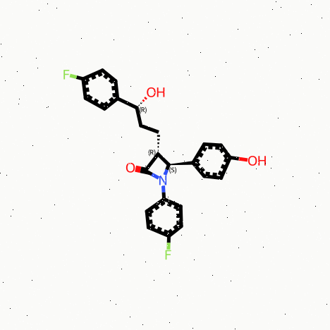 O=C1[C@H](CC[C@@H](O)c2ccc(F)cc2)[C@@H](c2ccc(O)cc2)N1c1ccc(F)cc1